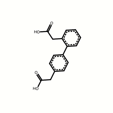 O=C(O)Cc1ccc(-c2ccccc2CC(=O)O)cc1